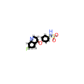 O=[SH](=O)Nc1ccc(Oc2ccnc3cc(F)ccc23)cc1